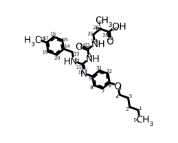 CCCCCOc1ccc(/N=C(/NCc2ccc(C)cc2)NC(=O)NC[C@H](C)C(=O)O)cc1